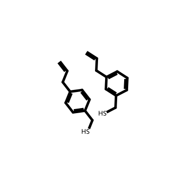 C=CCc1ccc(CS)cc1.C=CCc1cccc(CS)c1